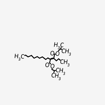 CCCCCCCCCCC(C(=O)OCC(C)C)=C(CCC)C(=O)OCC(C)C